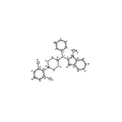 Cn1c(C(c2cccnc2)N2CCN(c3c(Cl)cncc3Cl)CC2)nc2ccccc21